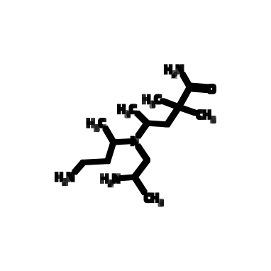 CC(N)CN(C(C)CCN)C(C)CC(C)(C)C(N)=O